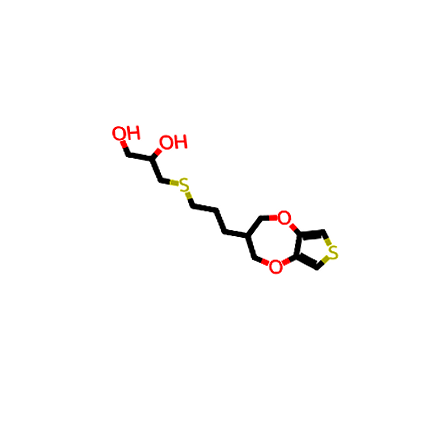 OCC(O)CSCCCC1COc2cscc2OC1